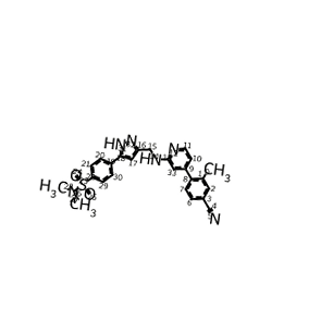 Cc1cc(C#N)ccc1-c1ccnc(NCc2cc(-c3ccc(S(=O)(=O)N(C)C)cc3)[nH]n2)c1